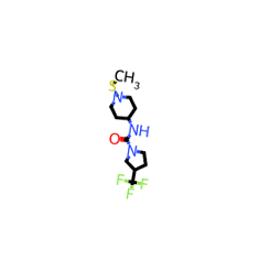 CSN1CCC(NC(=O)N2CCC(C(F)(F)F)C2)CC1